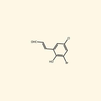 O=C/C=C/c1cc(Cl)cc(Br)c1O